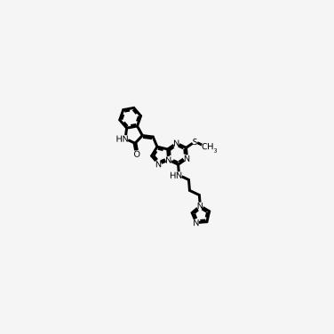 CSc1nc(NCCCn2ccnc2)n2ncc(C=C3C(=O)Nc4ccccc43)c2n1